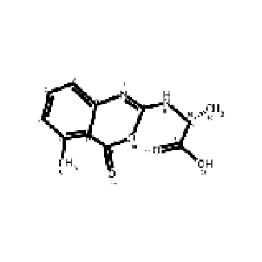 Cc1cccc2nc(N[C@H](C)C(=O)O)oc(=O)c12